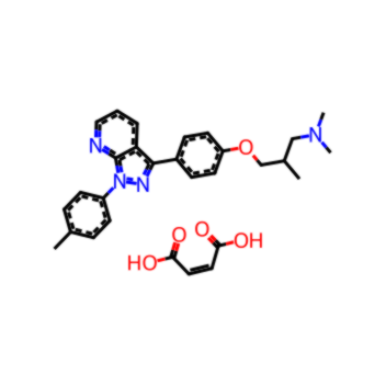 Cc1ccc(-n2nc(-c3ccc(OCC(C)CN(C)C)cc3)c3cccnc32)cc1.O=C(O)/C=C\C(=O)O